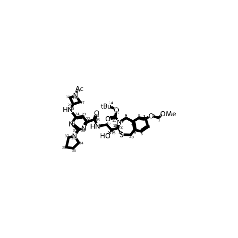 COCOc1ccc2c(c1)CN(C(=O)OC(C)(C)C)[C@H]([C@H](O)CNC(=O)c1cc(NC3CN(C(C)=O)C3)nc(N3CCCC3)n1)SC2